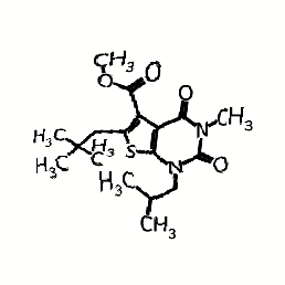 COC(=O)c1c(CC(C)(C)C)sc2c1c(=O)n(C)c(=O)n2CC(C)C